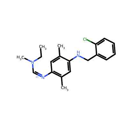 CCN(C)/C=N\c1cc(C)c(NCc2ccccc2Cl)cc1C